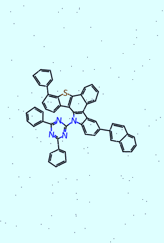 c1ccc(-c2nc(-c3ccccc3)nc(-n3c4ccc(-c5ccc6ccccc6c5)cc4c4c5ccccc5c5sc6c(-c7ccccc7)cccc6c5c43)n2)cc1